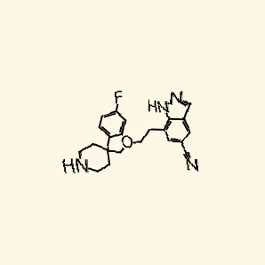 N#Cc1cc(CCOCC2(c3ccc(F)cc3)CCNCC2)c2[nH]ncc2c1